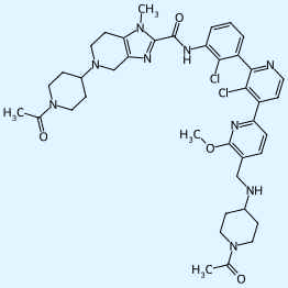 COc1nc(-c2ccnc(-c3cccc(NC(=O)c4nc5c(n4C)CCN(C4CCN(C(C)=O)CC4)C5)c3Cl)c2Cl)ccc1CNC1CCN(C(C)=O)CC1